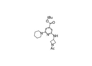 CC(=O)N1CC(Nc2cc(C(=O)OC(C)(C)C)cc(N3CCCCC3)n2)C1